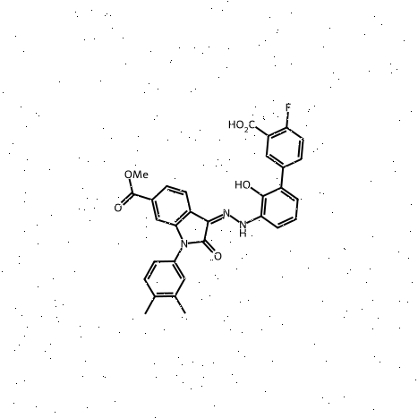 COC(=O)c1ccc2c(c1)N(c1ccc(C)c(C)c1)C(=O)/C2=N\Nc1cccc(-c2ccc(F)c(C(=O)O)c2)c1O